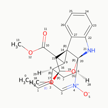 C/C=C1/C=[N+]([O-])[C@H]2C[C@@H]1C(C(=O)OC)[C@@]13C[C@H](OC)O[C@@]21Nc1ccccc13